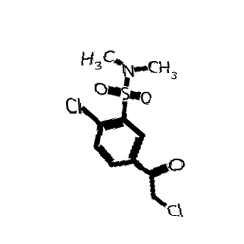 CN(C)S(=O)(=O)c1cc(C(=O)CCl)ccc1Cl